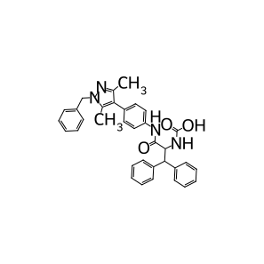 Cc1nn(Cc2ccccc2)c(C)c1-c1ccc(NC(=O)C(NC(=O)O)C(c2ccccc2)c2ccccc2)cc1